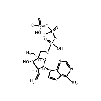 C=C[C@]1(O)[C@H](n2cnc3c(N)ncnc32)O[C@](C)(COP(=O)(O)OP(=O)(O)OP(=O)(O)O)[C@H]1O